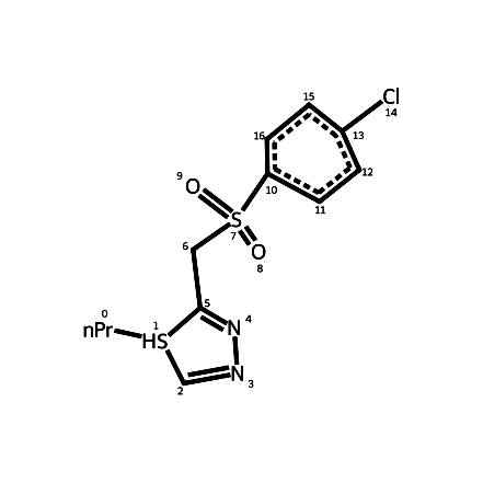 CCC[SH]1C=NN=C1CS(=O)(=O)c1ccc(Cl)cc1